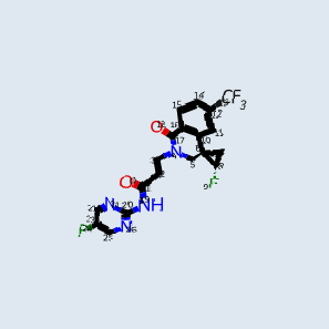 O=C(CCN1C[C@]2(C[C@@H]2F)c2cc(C(F)(F)F)ccc2C1=O)Nc1ncc(F)cn1